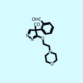 O=Cc1ccccc1C1(C(=O)O)C=NN=C1OCCN1CCOCC1